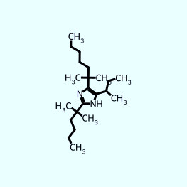 CCCCCC(C)(C)c1nc(C(C)(C)CCCC)[nH]c1C(C)CC